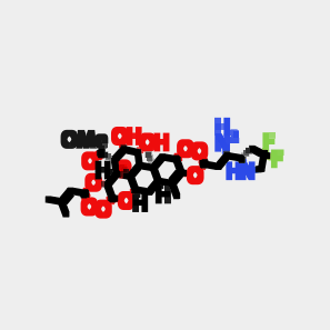 COC(=O)[C@@]12OC[C@]34C([C@@H](O)[C@@H]1O)[C@@]1(C)CC(=O)C(OC(=O)C[C@@H](N)[C@@H]5CC(F)(F)CN5)=C(C)[C@@H]1C[C@H]3OC(=O)[C@H](OC(=O)C=C(C)C)[C@@H]24